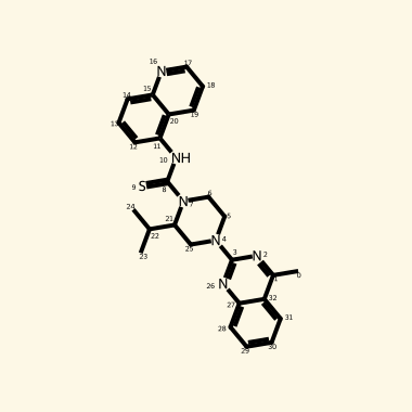 Cc1nc(N2CCN(C(=S)Nc3cccc4ncccc34)C(C(C)C)C2)nc2ccccc12